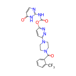 O=C(Nc1nccc(=O)[nH]1)Oc1ccc(N2CCN(C(=O)c3ccccc3C(F)(F)F)CC2)nn1